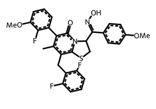 COc1ccc(C(=NO)C2CSc3c(Cc4c(F)cccc4F)c(C)c(-c4cccc(OC)c4F)c(=O)n32)cc1